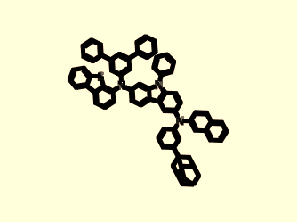 c1ccc(-c2cc(-c3ccccc3)cc(N(c3ccc4c5cc(N(c6cccc(C78CC9CC(CC(C9)C7)C8)c6)c6ccc7ccccc7c6)ccc5n(-c5ccccc5)c4c3)c3cccc4c3sc3ccccc34)c2)cc1